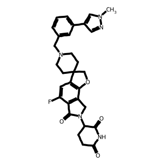 Cn1cc(-c2cccc(CN3CCC4(CC3)COc3c4cc(F)c4c3CN(C3CCC(=O)NC3=O)C4=O)c2)cn1